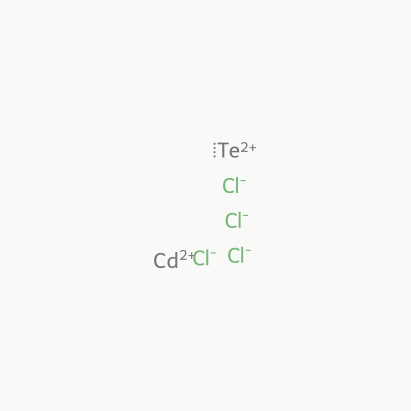 [Cd+2].[Cl-].[Cl-].[Cl-].[Cl-].[Te+2]